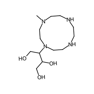 CN1CCNCCNCCN(C(CO)C(O)CO)CC1